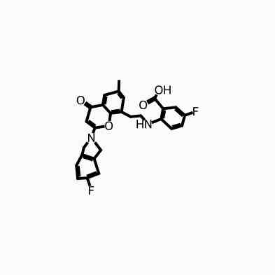 Cc1cc(CCNc2ccc(F)cc2C(=O)O)c2oc(N3Cc4ccc(F)cc4C3)cc(=O)c2c1